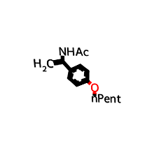 C=C(NC(C)=O)c1ccc(OCCCCC)cc1